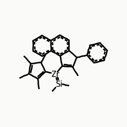 CC1=C(C)C(C)[C]([Zr]([C]2=C(C)C(c3ccccc3)c3ccc4ccccc4c32)=[Si](C)C)=C1C